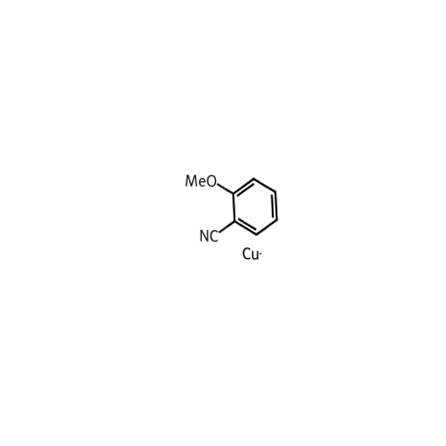 COc1ccccc1C#N.[Cu]